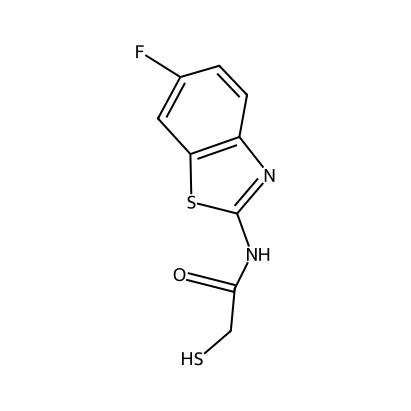 O=C(CS)Nc1nc2ccc(F)cc2s1